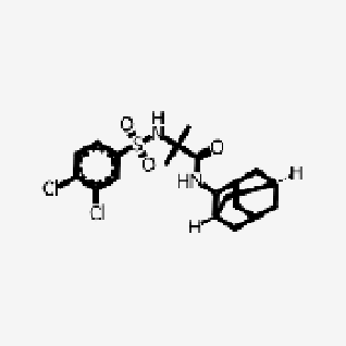 CC(C)(NS(=O)(=O)c1ccc(Cl)c(Cl)c1)C(=O)NC1C2CC3C[C@H](C2)C[C@@H]1C3